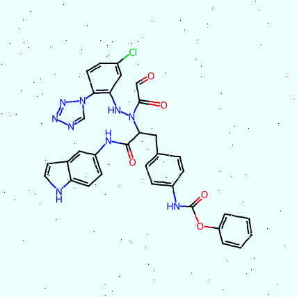 O=CC(=O)N(Nc1cc(Cl)ccc1-n1cnnn1)C(Cc1ccc(NC(=O)Oc2ccccc2)cc1)C(=O)Nc1ccc2[nH]ccc2c1